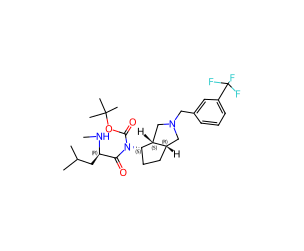 CN[C@H](CC(C)C)C(=O)N(C(=O)OC(C)(C)C)[C@H]1CC[C@H]2CN(Cc3cccc(C(F)(F)F)c3)C[C@H]21